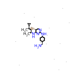 C=C(/C=C(\C)C1CC1)Nc1nc(Nc2ccc(CN)cc2)ncc1Br